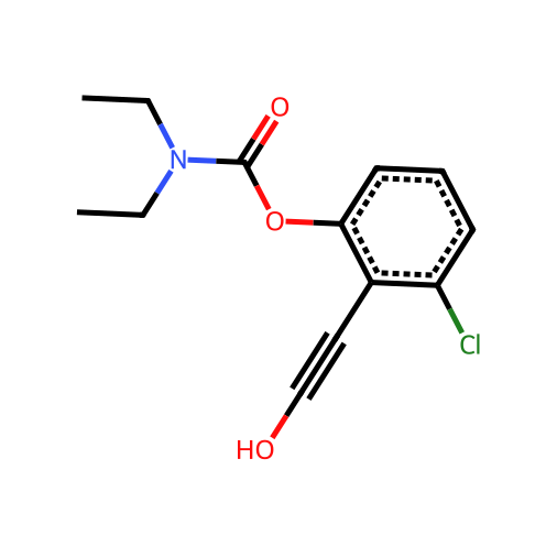 CCN(CC)C(=O)Oc1cccc(Cl)c1C#CO